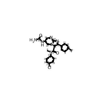 CN(C(=O)c1c(-c2ccc(F)cc2)nc2ncc(NC(N)=O)cn12)c1ccc(Cl)cc1